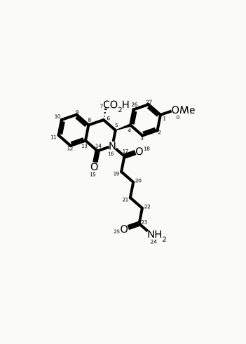 COc1ccc([C@@H]2[C@@H](C(=O)O)c3ccccc3C(=O)N2C(=O)CCCCC(N)=O)cc1